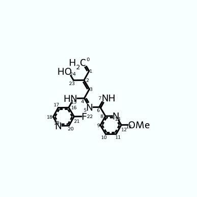 C=C/C(=C/C(=N\C(=N)c1cccc(OC)n1)Nc1ccncc1F)CO